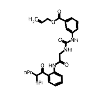 C=CCOC(=O)c1cccc(NC(=O)NCC(=O)Nc2ccccc2C(=O)C(CCC)CCC)c1